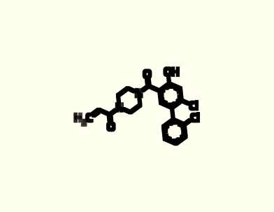 C=CC(=O)N1CCN(C(=O)c2cc(-c3ccccc3Cl)c(Cl)cc2O)CC1